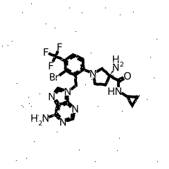 Nc1ncnc2c1ncn2Cc1c(N2CC[C@](N)(C(=O)NC3CC3)C2)ccc(C(F)(F)F)c1Br